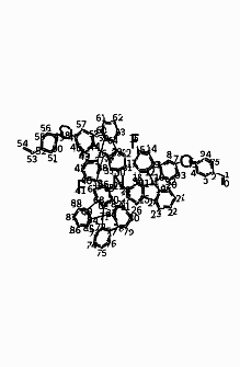 C=Cc1ccc(Oc2ccc(C3(c4ccc(F)cc4)c4ccccc4-c4ccc(N(c5ccc6c(c5)C(c5ccc(F)cc5)(c5ccc(Oc7ccc(C=C)cc7)cc5)c5ccccc5-6)c5ccc6c(c5)C5(c7ccccc7-c7ccccc75)c5ccccc5-6)cc43)cc2)cc1